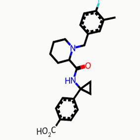 Cc1cc(CN2CCCCC2C(=O)NC2(c3ccc(C(=O)O)cc3)CC2)ccc1F